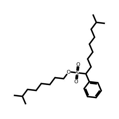 CC(C)CCCCCCOS(=O)(=O)C(CCCCCCC(C)C)c1ccccc1